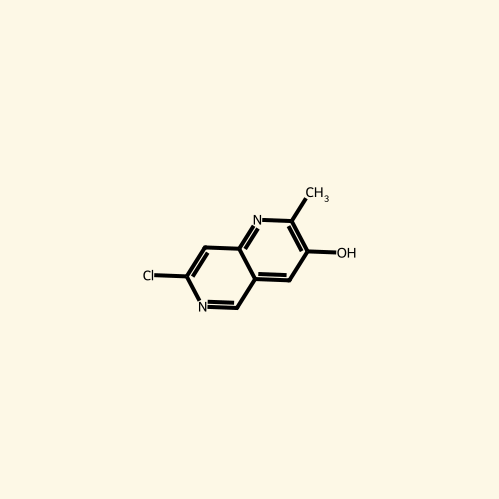 Cc1nc2cc(Cl)ncc2cc1O